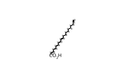 C#CCCCCCCCCC=CCCCCCCCCC(=O)O